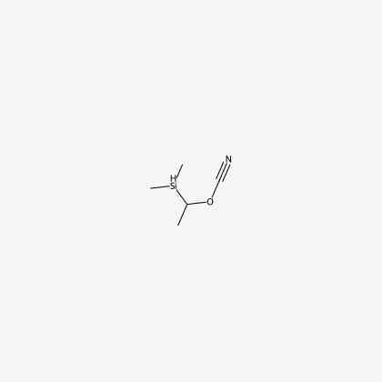 CC(OC#N)[SiH](C)C